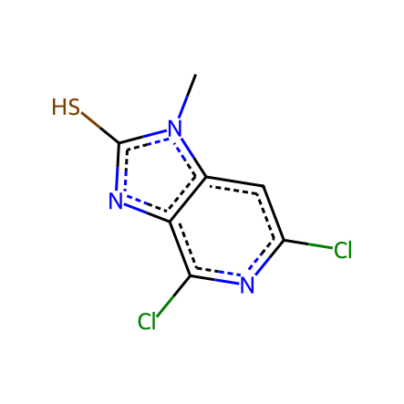 Cn1c(S)nc2c(Cl)nc(Cl)cc21